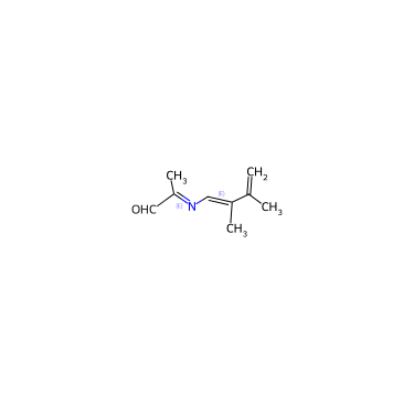 C=C(C)/C(C)=C/N=C(\C)C=O